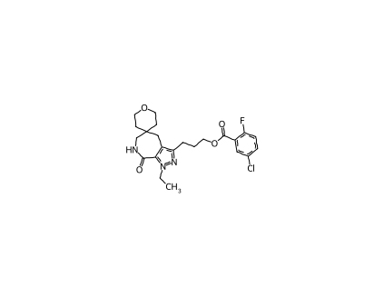 CCn1nc(CCCOC(=O)c2cc(Cl)ccc2F)c2c1C(=O)NCC1(CCOCC1)C2